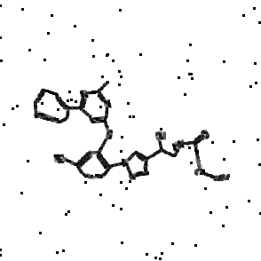 Cc1nc(Oc2cc(C#N)ccc2-n2cc(C(O)CNC(=O)OC(C)(C)C)cn2)cc(-c2ccccc2)n1